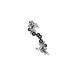 COC(=O)N[C@H](C(=O)N1CCC[C@H]1c1nc2cc(-c3ccc4ccc(-c5ccc6nc([C@@H]7CCCN7C(=O)[C@@H](NC(=O)OC)C(C)C)[nH]c6c5)cc4c3)ccc2[nH]1)C(C)C